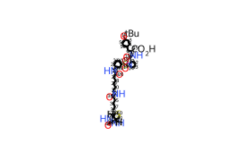 CC(C)(C)Oc1ccc(C[C@H](NC(=O)[C@@H]2CCCN2S(=O)(=O)c2cccc(NC(=O)CCCCCNC(=O)CCCC[C@@H]3SC[C@@H]4NC(=O)N[C@@H]43)c2)C(=O)O)cc1